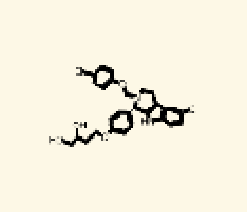 OC[C@@H](O)CCOc1ccc([C@H]2c3[nH]c4ccc(Cl)cc4c3CCN2COc2ccc(Cl)cc2)cc1